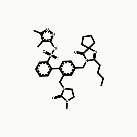 CCCCC1=NC2(CCCC2)C(=O)N1Cc1ccc(-c2ccccc2S(=O)(=O)Nc2noc(C)c2C)c(CN2CCN(C)C2=O)c1